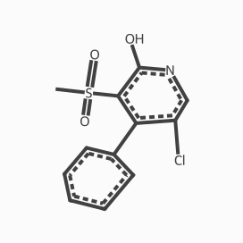 CS(=O)(=O)c1c(O)ncc(Cl)c1-c1ccccc1